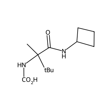 CC(C)(C)C(C)(NC(=O)O)C(=O)NC1CCC1